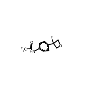 O=C(Nc1ccc(C2(F)COC2)cc1)C(F)(F)F